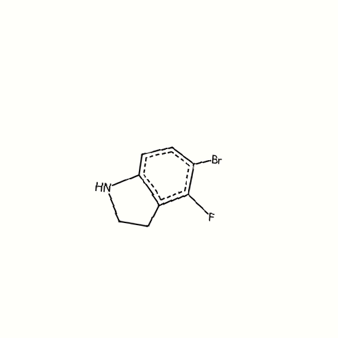 Fc1c(Br)ccc2c1CCN2